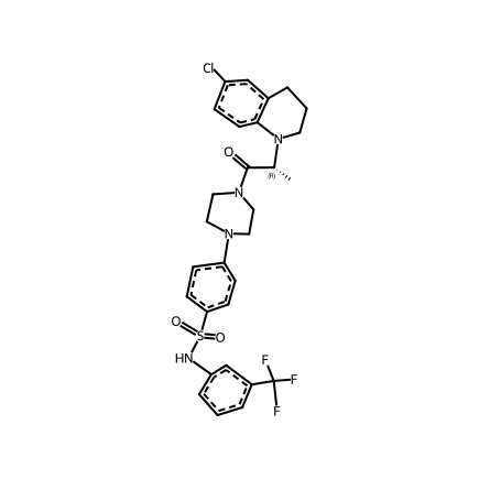 C[C@H](C(=O)N1CCN(c2ccc(S(=O)(=O)Nc3cccc(C(F)(F)F)c3)cc2)CC1)N1CCCc2cc(Cl)ccc21